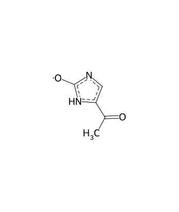 CC(=O)c1cnc([O])[nH]1